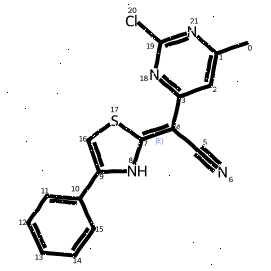 Cc1cc(/C(C#N)=C2/NC(c3ccccc3)=CS2)nc(Cl)n1